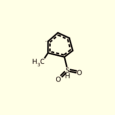 Cc1[c]cccc1[SH](=O)=O